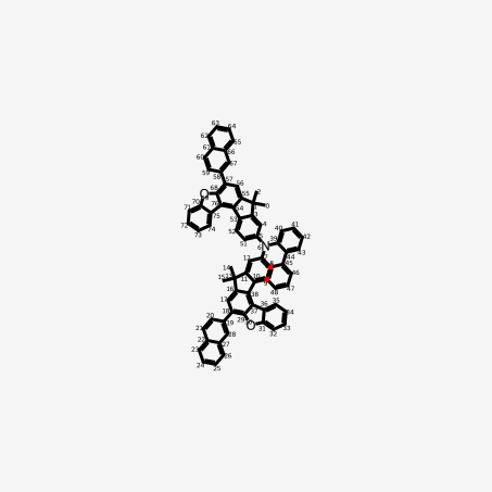 CC1(C)c2cc(N(c3ccc4c(c3)C(C)(C)c3cc(-c5ccc6ccccc6c5)c5oc6ccccc6c5c3-4)c3ccccc3-c3ccccc3)ccc2-c2c1cc(-c1ccc3ccccc3c1)c1oc3ccccc3c21